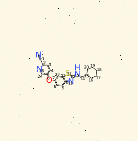 N#Cc1ccc(Oc2ccc3nc(NCC4CCCCC4)sc3c2)cn1